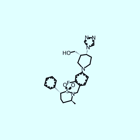 C[C@H]1CC[C@H](c2ccccc2)S(=O)(=O)N1Cc1ccc(N2CC[C@@H](n3cnnc3)[C@@H](CO)C2)cc1F